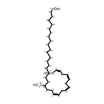 CCCCC/C=C\C/C=C\C/C=C\C/C=C\CCC(CCCCCCCCCCCCCCCCCCCCCCCCCCCC)C(=O)O